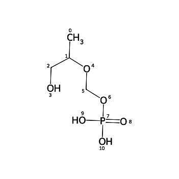 CC(CO)OCOP(=O)(O)O